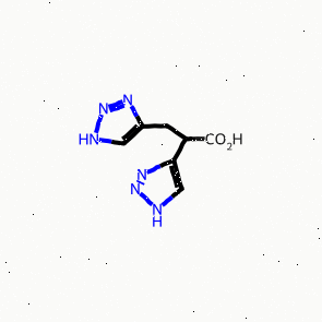 O=C(O)C(Cc1c[nH]nn1)c1c[nH]nn1